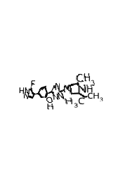 CC(C)C1CN(c2ncc(-c3ccc(-c4cn[nH]c4F)cc3O)nn2)C[C@@H](C)N1